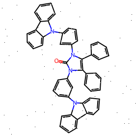 O=c1n(-c2cccc(-n3c4ccccc4c4ccccc43)c2)c(-c2ccccc2)c(-c2ccccc2)n1-c1cccc(-n2c3ccccc3c3ccccc32)c1